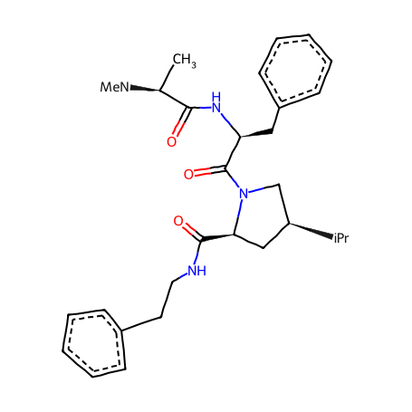 CN[C@@H](C)C(=O)N[C@@H](Cc1ccccc1)C(=O)N1C[C@@H](C(C)C)C[C@H]1C(=O)NCCc1ccccc1